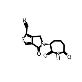 N#Cc1scc2c1CN([C@H]1CCCC(=O)NC1=O)C2=O